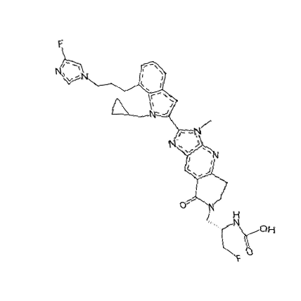 Cn1c(-c2cc3cccc(CCCn4cnc(F)c4)c3n2CC2CC2)nc2cc3c(nc21)CCN(C[C@@H](CF)NC(=O)O)C3=O